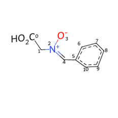 O=C(O)C[N+]([O-])=Cc1ccccc1